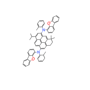 Cc1ccccc1N(c1cc(C(C)C)c2ccc3c(N(C4=CC=CCC4C)c4cccc5c4oc4ccccc45)cc4c5c(cc1c2c35)C(C)(C)CC4)c1cccc2c1oc1ccccc12